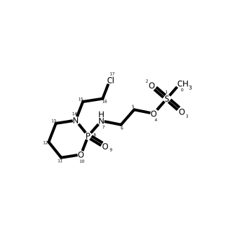 CS(=O)(=O)OCCNP1(=O)OCCCN1CCCl